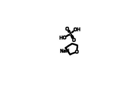 C1CCOC1.O=S(=O)(O)O.[NaH]